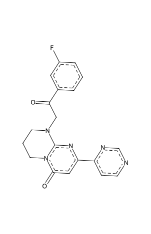 O=C(CN1CCCn2c1nc(-c1ccncn1)cc2=O)c1cccc(F)c1